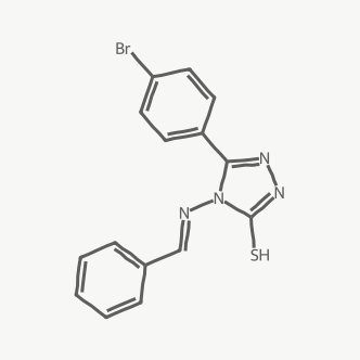 Sc1nnc(-c2ccc(Br)cc2)n1/N=C/c1ccccc1